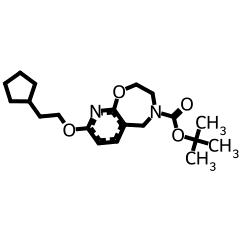 CC(C)(C)OC(=O)N1CCOc2nc(OCCC3CCCC3)ccc2C1